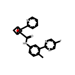 Cc1ccc(NC(=O)C2C3CC(C3)N2c2ccccn2)cc1-c1ncc(F)cn1